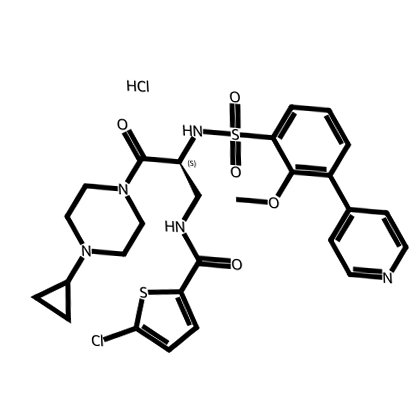 COc1c(-c2ccncc2)cccc1S(=O)(=O)N[C@@H](CNC(=O)c1ccc(Cl)s1)C(=O)N1CCN(C2CC2)CC1.Cl